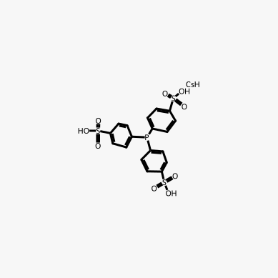 O=S(=O)(O)c1ccc(P(c2ccc(S(=O)(=O)O)cc2)c2ccc(S(=O)(=O)O)cc2)cc1.[CsH]